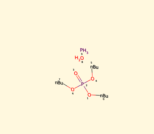 CCCCOP(=O)(OCCCC)OCCCC.O.P